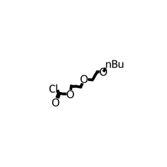 CCCCOCCOCCOC(=O)Cl